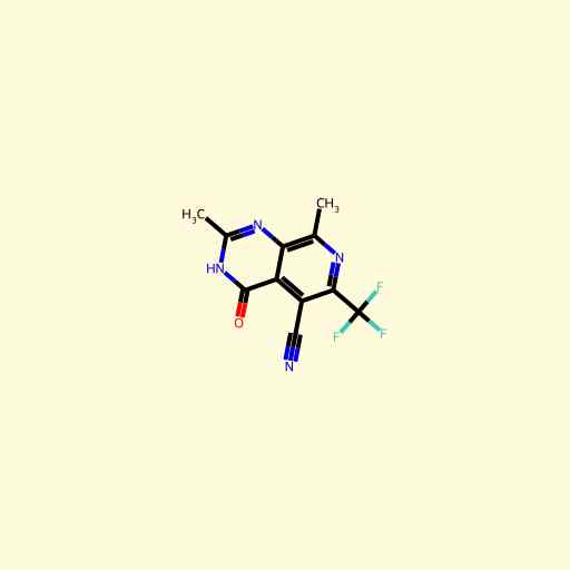 Cc1nc2c(C)nc(C(F)(F)F)c(C#N)c2c(=O)[nH]1